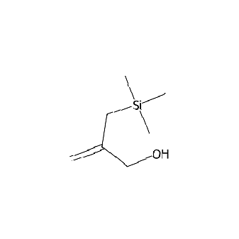 C=C(CO)C[Si](C)(C)C